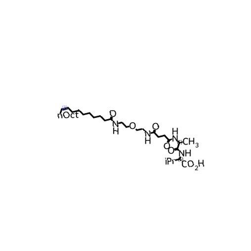 CCCCCCCC/C=C\CCCCCCCC(=O)NCCOCCNC(=O)CCC(=O)N[C@@H](C)C(=O)N[C@H](C(=O)O)C(C)C